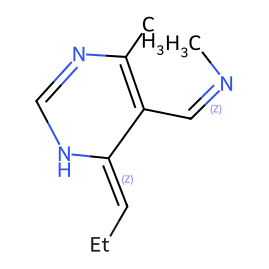 CC/C=C1\NC=NC(C)=C1/C=N\C